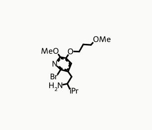 COCCCOc1cc(CC(N)C(C)C)c(Br)nc1OC